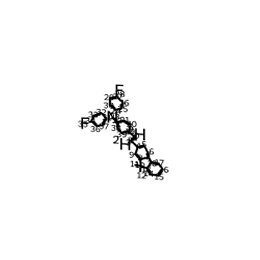 [2H]/C(=C(/[2H])c1ccc2c(c1)C(C)(C)c1ccccc1-2)c1ccc(N(c2ccc(F)cc2)c2ccc(F)cc2)cc1